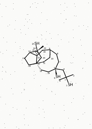 CC(C)(S)C[C@@]1(S)CCC2CCC3CC4[C@@H](C2)[C@@]3(CC1)C[C@@]4(C)S